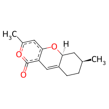 Cc1cc2c(c(=O)o1)C=C1CC[C@H](C)C[C@@H]1O2